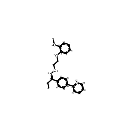 CCC(=NOCCOc1ccc[c]c1OC)c1ccc(-c2ccccn2)cc1